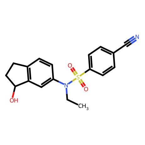 CCN(c1ccc2c(c1)C(O)CC2)S(=O)(=O)c1ccc(C#N)cc1